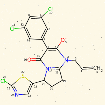 C=CCn1c([O-])c(-c2cc(Cl)cc(Cl)c2)c(=O)[n+]2c1CCC2c1cnc(Cl)s1